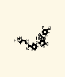 O=C(NCCc1c[nH]cn1)c1cccc(Oc2ncc(Cl)cc2NS(=O)(=O)c2ccc(Cl)c(Cl)c2)c1